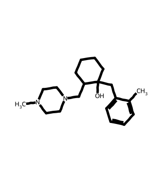 Cc1ccccc1CC1(O)CCCCC1CN1CCN(C)CC1